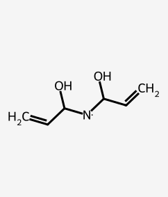 C=CC(O)[N]C(O)C=C